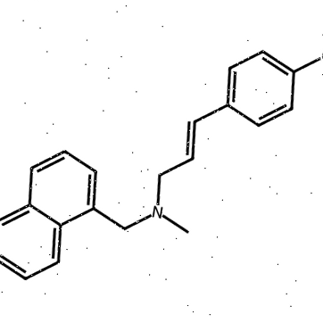 CN(C/C=C/c1ccc(Cl)cc1)Cc1cccc2ccccc12